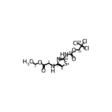 CCOC(=O)CNc1csc(NC(=O)OCC(Cl)(Cl)Cl)n1